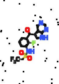 O=C(c1cccc(NS(=O)(=O)CC(F)(F)F)c1F)c1c[nH]c2ncncc12